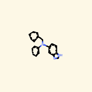 c1ccc(CN(c2ccccc2)c2ccc3[nH]cnc3c2)cc1